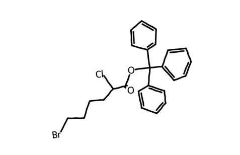 O=C(OC(c1ccccc1)(c1ccccc1)c1ccccc1)C(Cl)CCCCBr